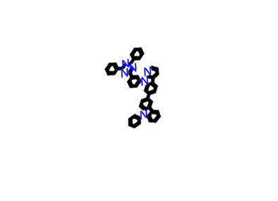 c1ccc(-c2nc(-c3ccccc3)nc(-c3cccc(-n4c5cc(-c6ccc7c(c6)c6ccccc6n7-c6ccccc6)ccc5c5cccnc54)c3)n2)cc1